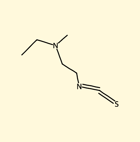 CCN(C)CCN=C=S